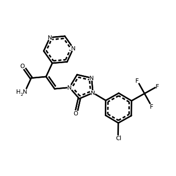 NC(=O)/C(=C/n1cnn(-c2cc(Cl)cc(C(F)(F)F)c2)c1=O)c1cncnc1